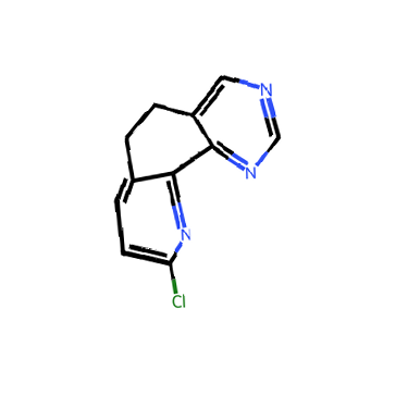 Clc1ccc2c(n1)-c1ncncc1CC2